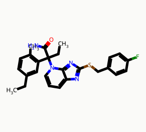 CCc1ccc(C)c(C(CC)(C(N)=O)n2cccc3nc(SCc4ccc(F)cc4)nc2-3)c1